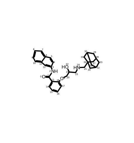 O=C(Nc1ccc2ccccc2c1)c1ccccc1OCC(O)CNCC12CC3CC(CC(C3)C1)C2